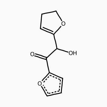 O=C(c1ccco1)C(O)C1=CCCO1